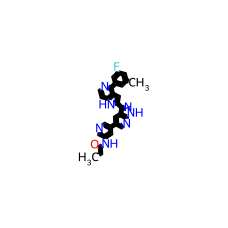 CCC(=O)Nc1cncc(-c2cnc3[nH]nc(-c4cc5c(-c6cc(C)cc(F)c6)nccc5[nH]4)c3c2)c1